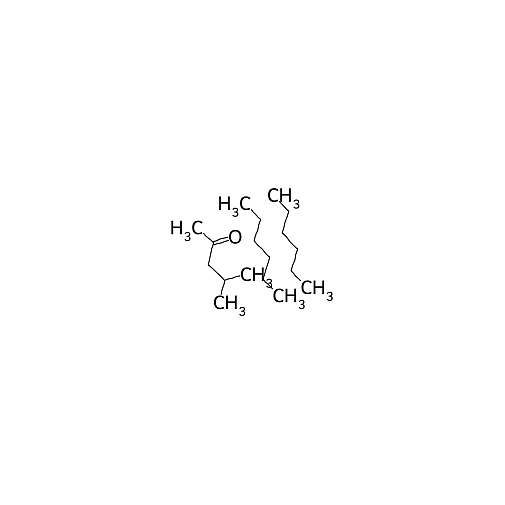 CC(=O)CC(C)C.CCCCCC.CCCCCC